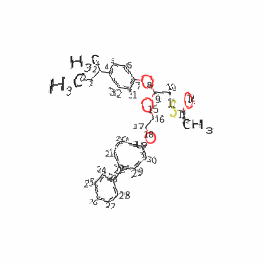 CCC(C)c1ccc(OC(CSC(C)=O)OCCOc2ccc(-c3ccccc3)cc2)cc1